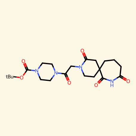 CC(C)(C)OC(=O)N1CCN(C(=O)CN2CCC3(CCCC(=O)NC3=O)CC2=O)CC1